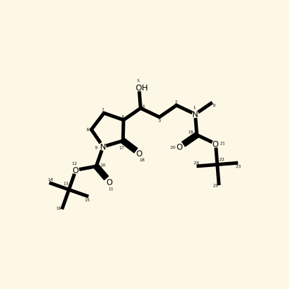 CN(CCC(O)C1CCN(C(=O)OC(C)(C)C)C1=O)C(=O)OC(C)(C)C